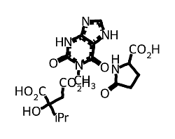 CC(C)C(O)(CC(=O)O)C(=O)O.Cn1c(=O)[nH]c2nc[nH]c2c1=O.O=C1CCC(C(=O)O)N1